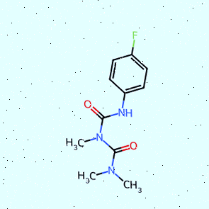 CN(C)C(=O)N(C)C(=O)Nc1ccc(F)cc1